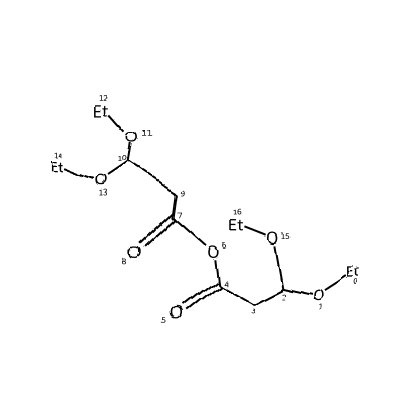 CCOC(CC(=O)OC(=O)CC(OCC)OCC)OCC